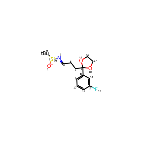 CC(C)(C)[S@+]([O-])N=CCCC1(c2cccc(F)c2)OCCO1